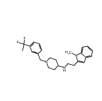 Cn1c(CCNC2CCN(Cc3cccc(C(F)(F)F)c3)CC2)cc2ccccc21